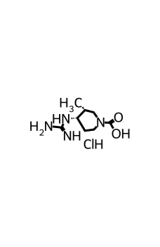 C[C@@H]1CN(C(=O)O)CC[C@@H]1NC(=N)N.Cl